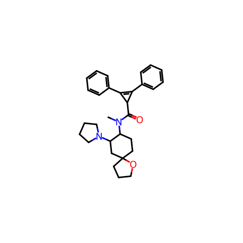 CN(C(=O)C1C(c2ccccc2)=C1c1ccccc1)C1CCC2(CCCO2)CC1N1CCCC1